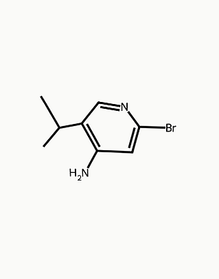 CC(C)c1cnc(Br)cc1N